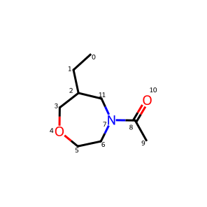 CCC1COCCN(C(C)=O)C1